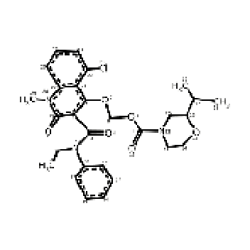 CCN(C(=O)c1c(OCOC(=O)N2CCOC(C(C)C)C2)c2c(Cl)cccc2n(C)c1=O)c1ccccc1